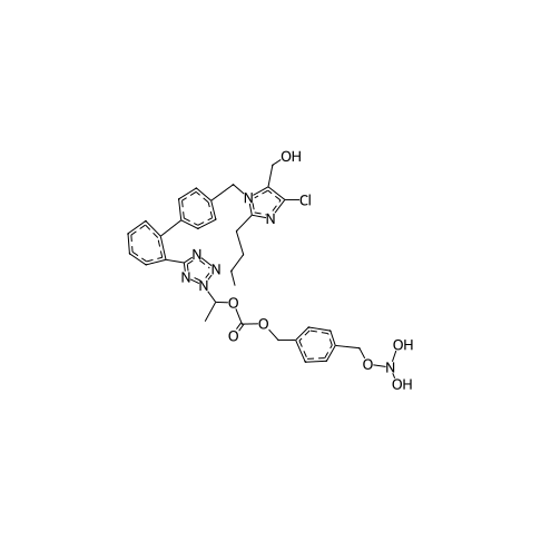 CCCCc1nc(Cl)c(CO)n1Cc1ccc(-c2ccccc2-c2nnn(C(C)OC(=O)OCc3ccc(CON(O)O)cc3)n2)cc1